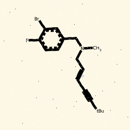 CN(C/C=C/C#CC(C)(C)C)Cc1ccc(F)c(Br)c1